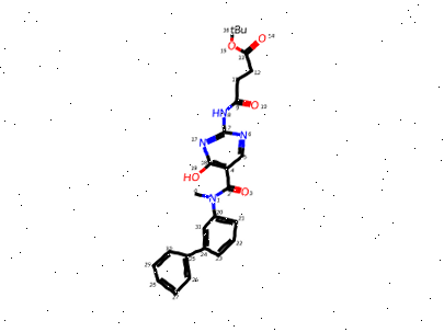 CN(C(=O)c1cnc(NC(=O)CCC(=O)OC(C)(C)C)nc1O)c1cccc(-c2ccccc2)c1